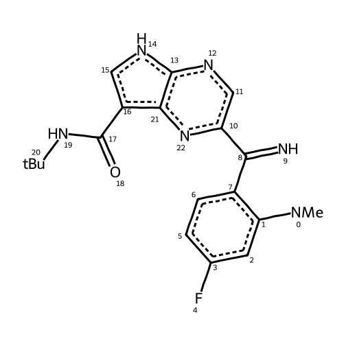 CNc1cc(F)ccc1C(=N)c1cnc2[nH]cc(C(=O)NC(C)(C)C)c2n1